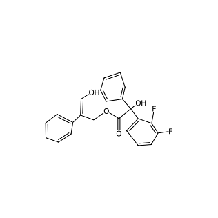 O=C(OCC(=CO)c1ccccc1)C(O)(c1ccccc1)c1cccc(F)c1F